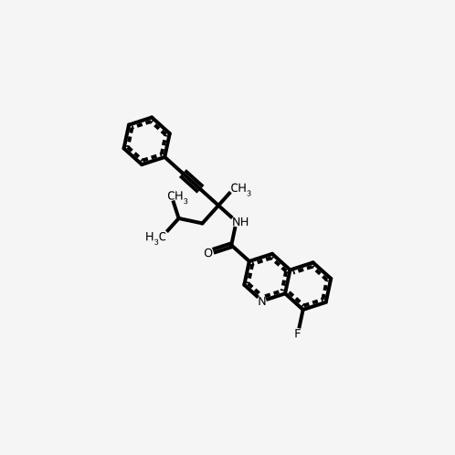 CC(C)CC(C)(C#Cc1ccccc1)NC(=O)c1cnc2c(F)cccc2c1